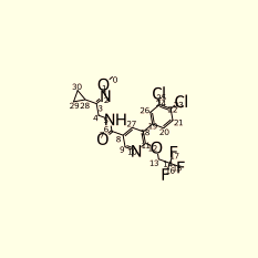 CON=C(CNC(=O)c1cnc(OCC(F)(F)F)c(-c2ccc(Cl)c(Cl)c2)c1)C1CC1